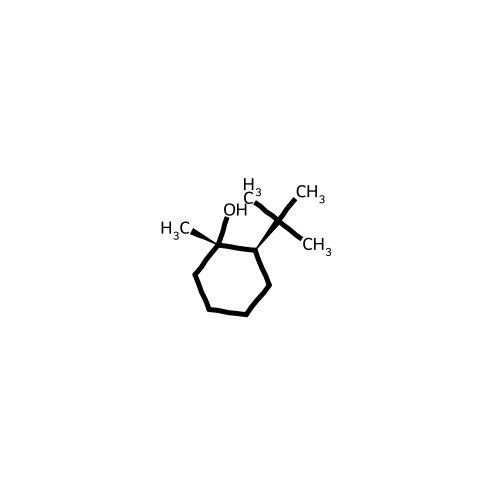 CC(C)(C)[C@H]1CCCC[C@]1(C)O